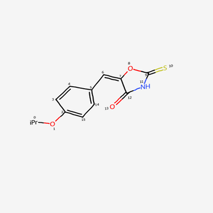 CC(C)Oc1ccc(C=C2OC(=S)NC2=O)cc1